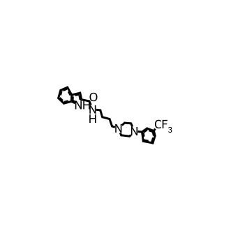 O=C(NCCCCN1CCN(c2cccc(C(F)(F)F)c2)CC1)c1cc2ccccc2[nH]1